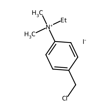 CC[N+](C)(C)c1ccc(CCl)cc1.[I-]